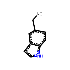 [C-]#[N+]Cc1ccc2[nH]ccc2c1